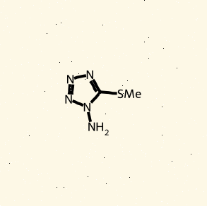 CSc1nnnn1N